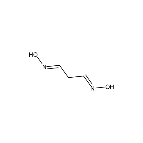 ON=CCC=NO